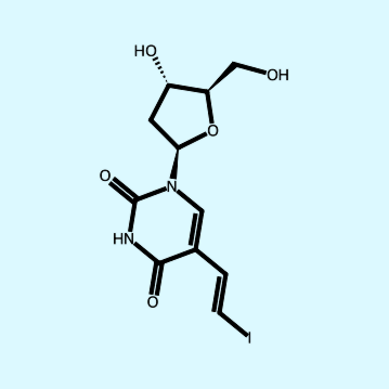 O=c1[nH]c(=O)n([C@H]2C[C@H](O)[C@@H](CO)O2)cc1C=CI